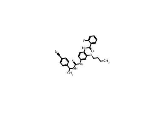 CCCCOc1cc(NC(=S)NC(C)c2ccc(C#N)cc2)ccc1NC(=O)c1ccccc1F